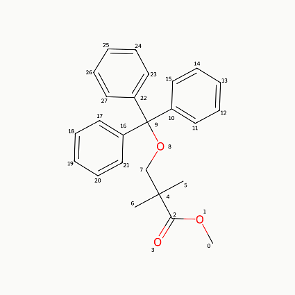 COC(=O)C(C)(C)COC(c1ccccc1)(c1ccccc1)c1ccccc1